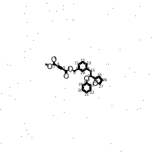 COC(=O)C#CC(=O)OCc1cccc(CC(Oc2ccccc2)c2ccco2)c1